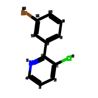 Clc1cccnc1-c1cc[c]c(Br)c1